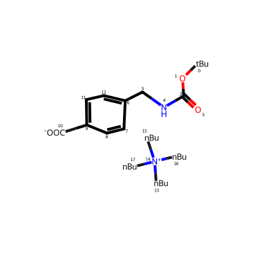 CC(C)(C)OC(=O)NCc1ccc(C(=O)[O-])cc1.CCCC[N+](CCCC)(CCCC)CCCC